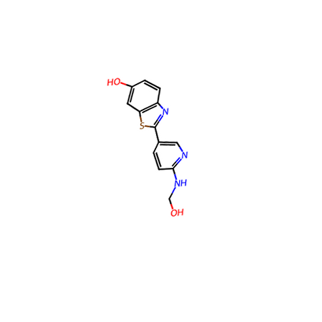 OCNc1ccc(-c2nc3ccc(O)cc3s2)cn1